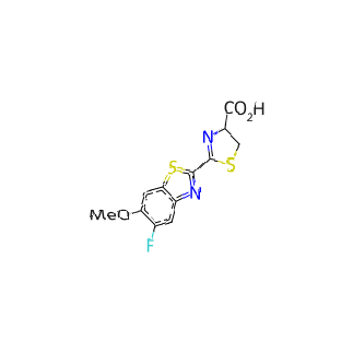 COc1cc2sc(C3=NC(C(=O)O)CS3)nc2cc1F